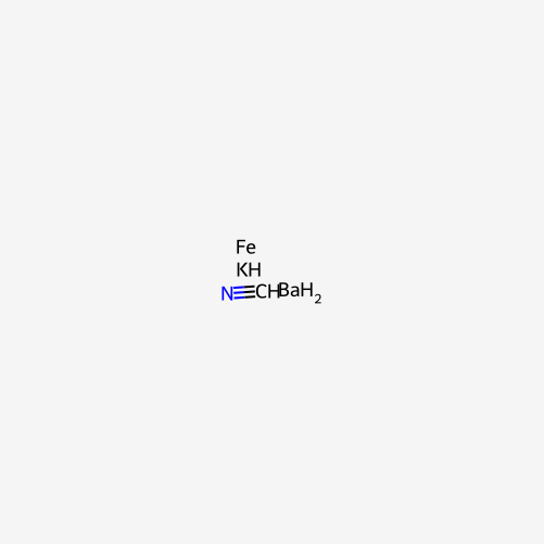 C#N.[BaH2].[Fe].[KH]